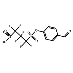 O=Cc1ccc(OS(=O)(=O)C(F)(F)C(F)(F)C(F)(F)S(=O)(=O)O)cc1